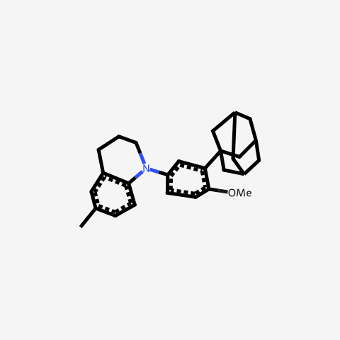 COc1ccc(N2CCCc3cc(C)ccc32)cc1C12CC3CC(CC(C3)C1)C2